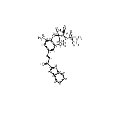 Cc1cc(/C=C/C(=O)c2cc3ccccc3o2)cc(C)c1OC(C)(C)C(=O)OC(C)(C)C